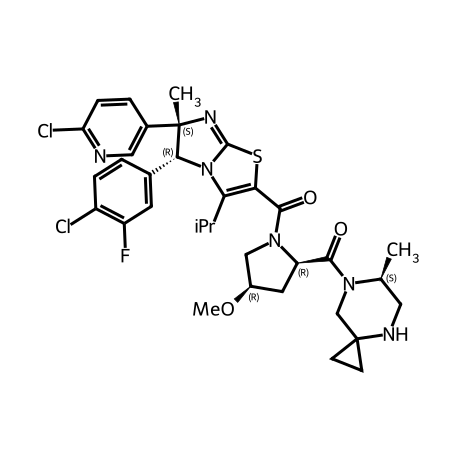 CO[C@@H]1C[C@H](C(=O)N2CC3(CC3)NC[C@@H]2C)N(C(=O)C2=C(C(C)C)N3C(=N[C@@](C)(c4ccc(Cl)nc4)[C@H]3c3ccc(Cl)c(F)c3)S2)C1